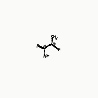 [CH2][C@H](F)[C@@H](F)CCC